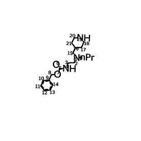 CCCN(CCNC(=O)OCc1ccccc1)CC1CCNCC1